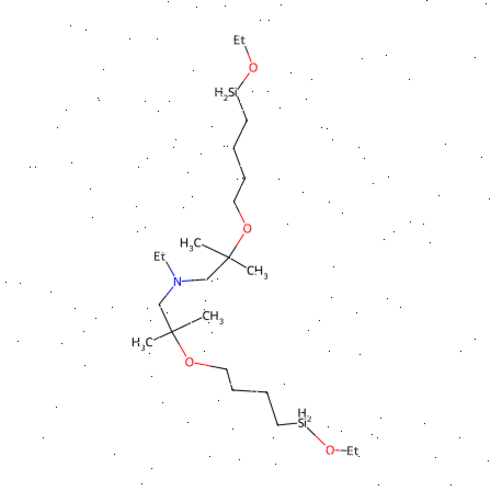 CCO[SiH2]CCCCOC(C)(C)CN(CC)CC(C)(C)OCCCC[SiH2]OCC